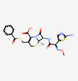 CO/N=C(/C(=O)N[C@@H]1C(=O)N2C(C(=O)O)=C(CSC(=O)c3ccccc3)CS[C@H]12)c1cnc(N)s1